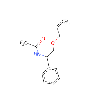 C=CCOCC(NC(=O)C(F)(F)F)c1ccccc1